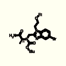 CCOCCn1c(CN(C(=O)OC(C)(C)C)[C@@H](C)C(N)=O)nc2cc(Br)ccc21